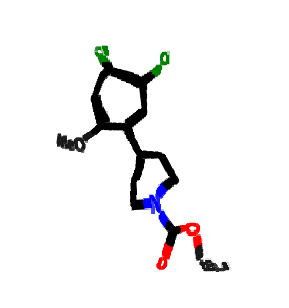 COc1cc(Cl)c(Cl)cc1C1=CCN(C(=O)OC(C)(C)C)CC1